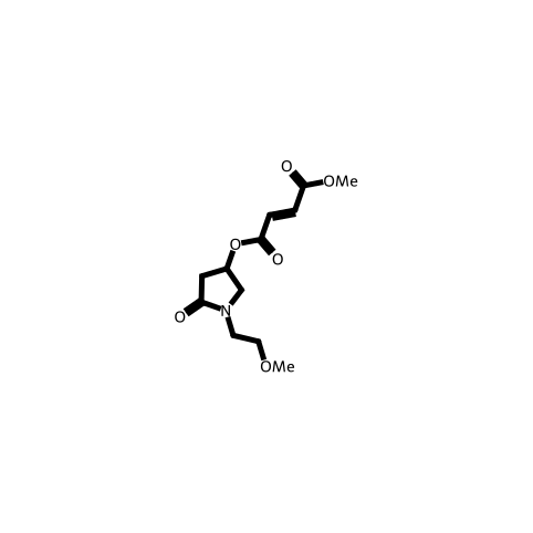 COCCN1CC(OC(=O)/C=C/C(=O)OC)CC1=O